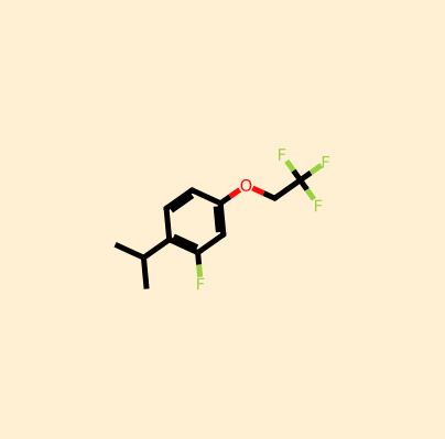 CC(C)c1ccc(OCC(F)(F)F)cc1F